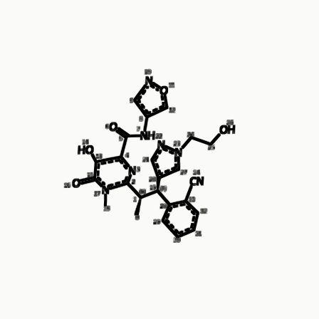 C[C@@H](c1nc(C(=O)Nc2cnoc2)c(O)c(=O)n1C)[C@@H](c1cnn(CCO)c1)c1ccccc1C#N